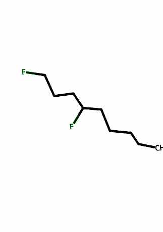 CCCCCC(F)CCCF